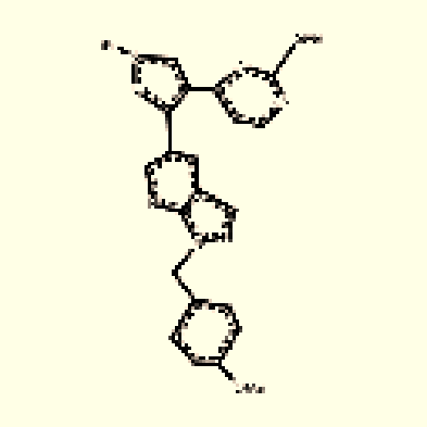 COc1ccc(Cn2ncc3cc(-c4nn(C(C)C)cc4-c4ccnc(SC)n4)cnc32)cc1